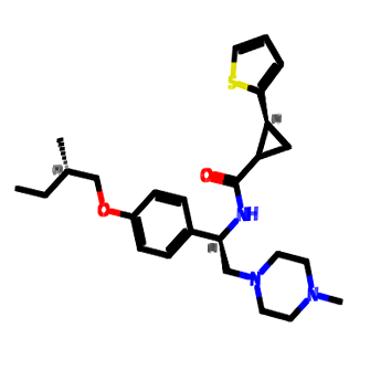 CC[C@H](C)COc1ccc([C@H](CN2CCN(C)CC2)NC(=O)C2C[C@@H]2c2cccs2)cc1